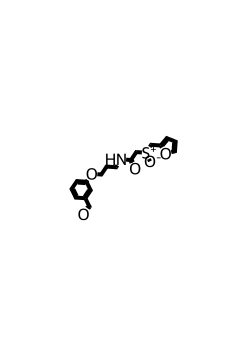 O=Cc1cccc(OCCCNC(=O)C[S+]([O-])Cc2ccco2)c1